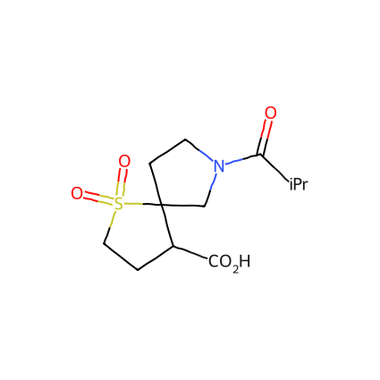 CC(C)C(=O)N1CCC2(C1)C(C(=O)O)CCS2(=O)=O